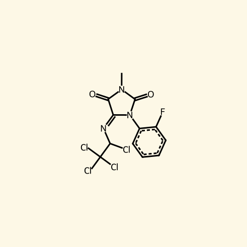 CN1C(=O)/C(=N/C(Cl)C(Cl)(Cl)Cl)N(c2ccccc2F)C1=O